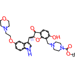 CC(C)(C)OC(=O)N1CCN(Cc2c(O)ccc3c2O/C(=C\c2c[nH]c4ccc(OCCN5CCOCC5)cc24)C3=O)CC1